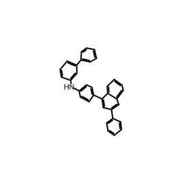 c1ccc(-c2cccc(Nc3ccc(-c4cc(-c5ccccc5)cc5ccccc45)cc3)c2)cc1